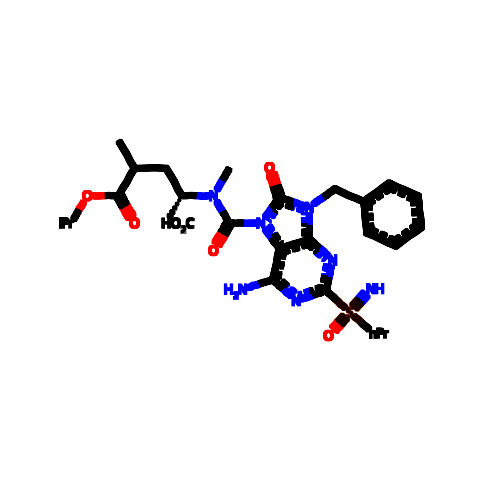 CCCS(=N)(=O)c1nc(N)c2c(n1)n(Cc1ccccc1)c(=O)n2C(=O)N(C)[C@@H](CC(C)C(=O)OC(C)C)C(=O)O